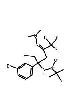 CN(C)N=C(CC(CF)(N[S+]([O-])C(C)(C)C)c1cccc(Br)c1)C(F)(F)F